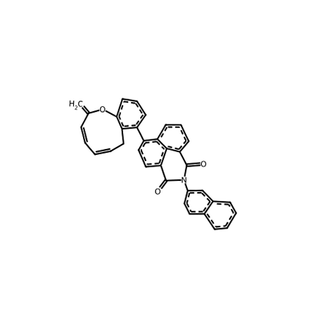 C=C1/C=C\C=C/Cc2c(cccc2-c2ccc3c4c(cccc24)C(=O)N(c2ccc4ccccc4c2)C3=O)O1